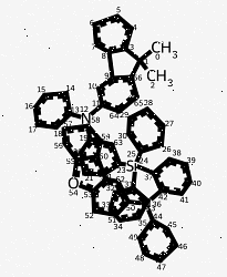 CC1(C)c2ccccc2-c2cc(N(c3ccccc3)c3cccc([Si](c4ccccc4)(c4ccccc4)c4ccccc4N(c4ccccc4)c4ccc5oc6ccccc6c5c4)c3)ccc21